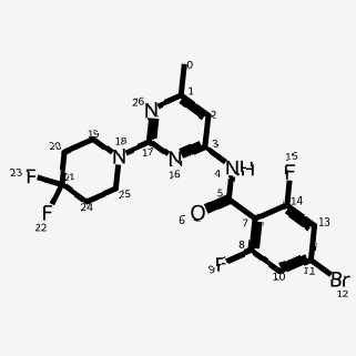 Cc1cc(NC(=O)c2c(F)cc(Br)cc2F)nc(N2CCC(F)(F)CC2)n1